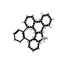 C1=CC2=C(CC1)c1cccc3[nH]c4c5ccccc5c5cccc2c5c4c13